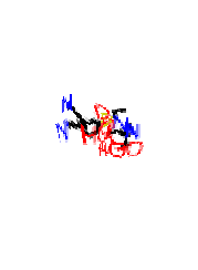 CCC(n1cnc(C(=O)O)c1C(=O)O)S(=O)(=O)c1ccc(C#N)c(C#N)c1